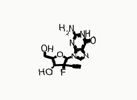 C#CC1(F)C(n2cnc3c(=O)[nH]c(N)nc32)OC(CO)[C@@H]1O